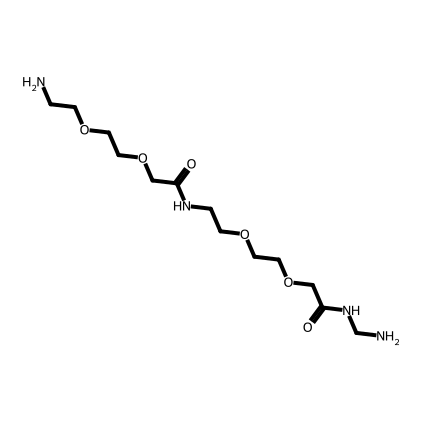 NCCOCCOCC(=O)NCCOCCOCC(=O)NCN